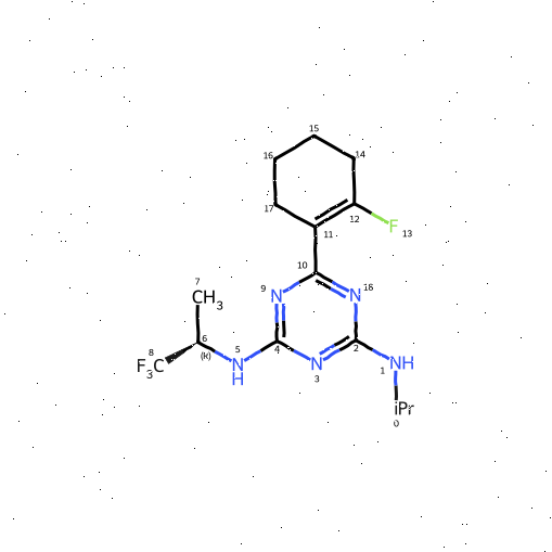 CC(C)Nc1nc(N[C@H](C)C(F)(F)F)nc(C2=C(F)CCCC2)n1